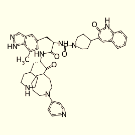 Cc1cc(C[C@@H](NC(=O)N2CCC(c3cc4ccccc4[nH]c3=O)CC2)C(=O)N[C@@H](CC2CCNCC2)C(=O)C2CCCCN(c3ccncc3)CC2)cc2cn[nH]c12